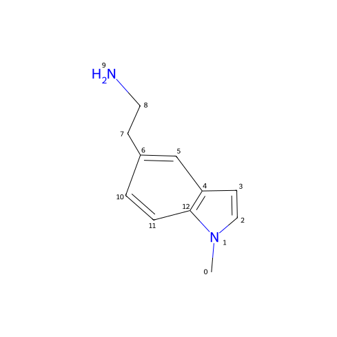 Cn1ccc2cc(CCN)ccc21